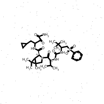 CC(C)[C@H](NC(=O)NC(CS(=O)(=O)c1ccccc1)C(C)(C)C)C(=O)N1CC2(C)C([C@H]1C(=O)NC(CC1CC1)C(=O)C(N)=O)C2(C)C